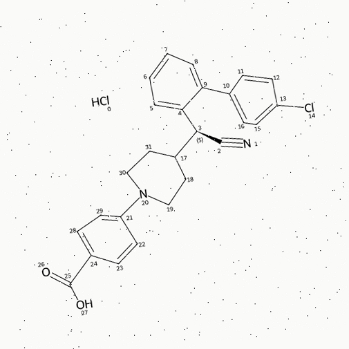 Cl.N#C[C@H](c1ccccc1-c1ccc(Cl)cc1)C1CCN(c2ccc(C(=O)O)cc2)CC1